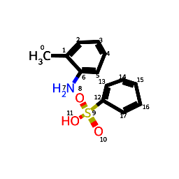 Cc1ccccc1N.O=S(=O)(O)c1ccccc1